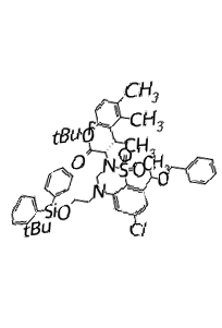 Cc1ccc(F)c(C(C)[C@@H](C(=O)OC(C)(C)C)N2CN(CCO[Si](c3ccccc3)(c3ccccc3)C(C)(C)C)c3cc(Cl)cc(C(C)OCc4ccccc4)c3S2(=O)=O)c1C